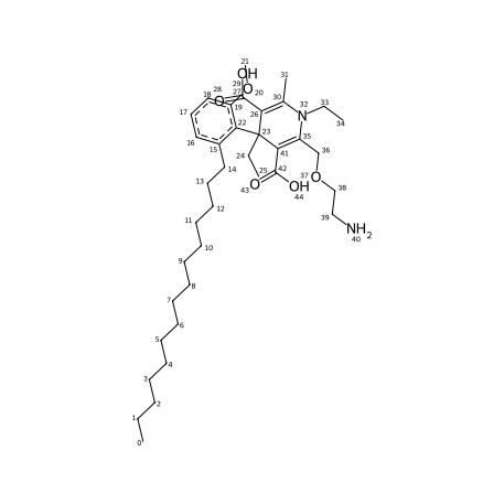 CCCCCCCCCCCCCCCc1cccc(OC)c1C1(CC)C(C(=O)O)=C(C)N(CC)C(COCCN)=C1C(=O)O